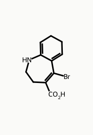 O=C(O)C1=C(Br)C2=CCCC=C2NCC1